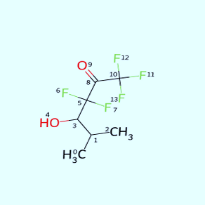 CC(C)C(O)C(F)(F)C(=O)C(F)(F)F